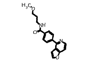 COCCCNC(=O)c1ccc(-c2nccc3occc23)cc1